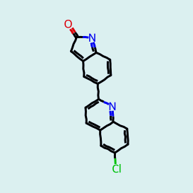 O=C1C=c2cc(-c3ccc4cc(Cl)ccc4n3)ccc2=N1